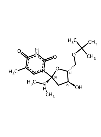 Cc1cn([C@@]2([SiH](C)C)C[C@H](O)[C@@H](COC(C)(C)C)O2)c(=O)[nH]c1=O